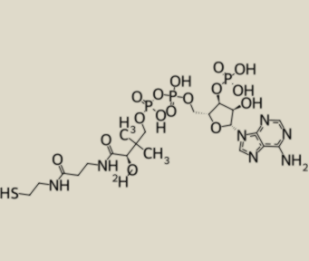 [2H]O[C@@H](C(=O)NCCC(=O)NCCS)C(C)(C)COP(=O)(O)OP(=O)(O)OC[C@H]1O[C@@H](n2cnc3c(N)ncnc32)[C@H](O)[C@@H]1OP(=O)(O)O